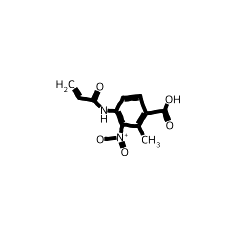 C=CC(=O)Nc1ccc(C(=O)O)c(C)c1[N+](=O)[O-]